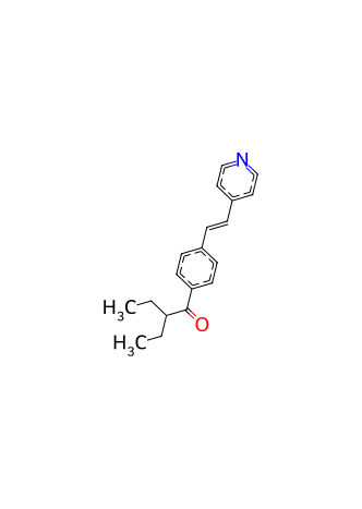 CCC(CC)C(=O)c1ccc(C=Cc2ccncc2)cc1